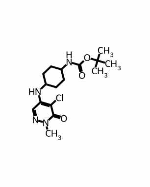 Cn1ncc(NC2CCC(NC(=O)OC(C)(C)C)CC2)c(Cl)c1=O